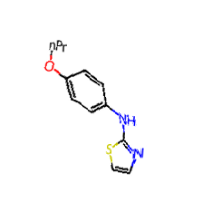 CCCOc1ccc(Nc2nccs2)cc1